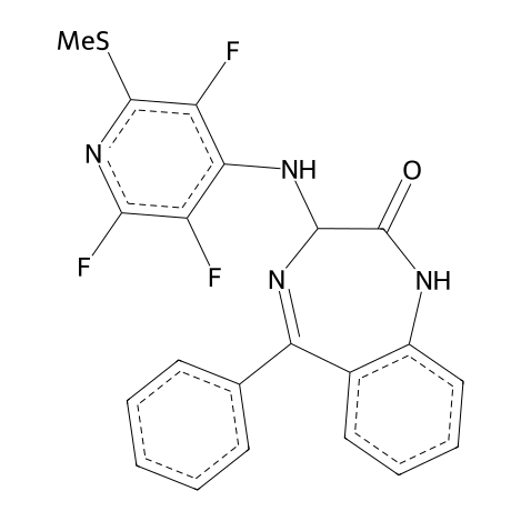 CSc1nc(F)c(F)c(NC2N=C(c3ccccc3)c3ccccc3NC2=O)c1F